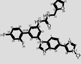 Cn1cnc(-c2ccc3c(c2)ncn3-c2cc(NC(=O)NCc3ccco3)cc(-c3ccc(F)cc3F)c2)c1